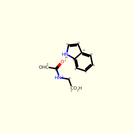 O=CC(=O)NCC(=O)O.c1ccc2[nH]ccc2c1